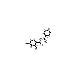 Cc1ccc(C(=O)OC(=O)c2ccccc2)c(C)c1